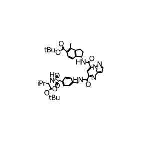 Cc1c(C(=O)OC(C)(C)C)ccc2c1CC[C@@H]2NC(=O)c1cc(C(=O)NCc2ccc(S(=O)(=O)N[C@@H](C(=O)OC(C)(C)C)C(C)C)cc2)nc2ccnn12